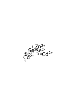 [Cd+2].[Cd+2].[Se-2].[Se-2].[Se-2].[Zn+2]